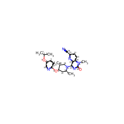 CC(C)Oc1ccc(OC2C[C@H](C)N(c3nc(=O)n(C)c4ccc(C#N)nc34)C[C@H]2C)nc1